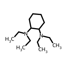 CCN(CC)C1CCCCC1N(CC)CC